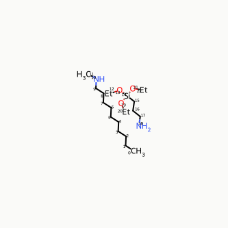 CCCCCCCCCCNC.CCO[Si](CCCN)(OCC)OCC